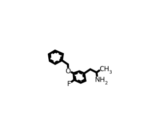 CC(N)Cc1ccc(F)c(OCc2ccccc2)c1